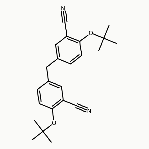 CC(C)(C)Oc1ccc(Cc2ccc(OC(C)(C)C)c(C#N)c2)cc1C#N